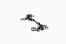 CC(C)(C)OC(=O)N1CC[C@@H](O)[C@H]1c1nc(-c2ccc(C#Cc3ccc4[nH]c([C@@H]5C[C@@H](O)CN5C(=O)OC(C)(C)C)nc4c3)cc2)c[nH]1